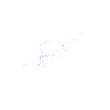 C[C@@H](NC(=O)[C@H](Cc1ccc(-c2ncc(C3=CCCCC3)cn2)cc1)NC(=O)c1ccc(C(C)(C)C)s1)C(=O)O